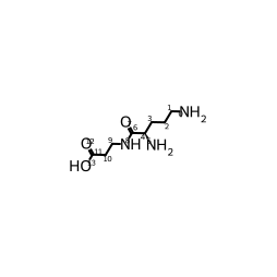 NCCC[C@@H](N)C(=O)NCCC(=O)O